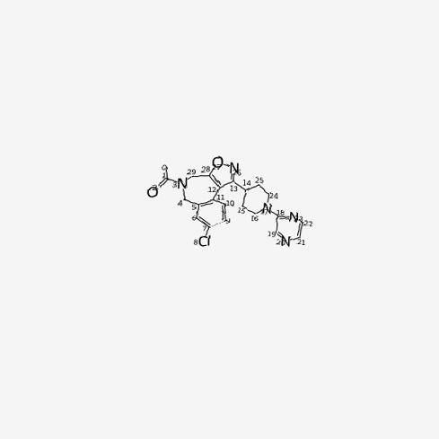 CC(=O)N1Cc2cc(Cl)ccc2-c2c(C3CCN(c4cnccn4)CC3)noc2C1